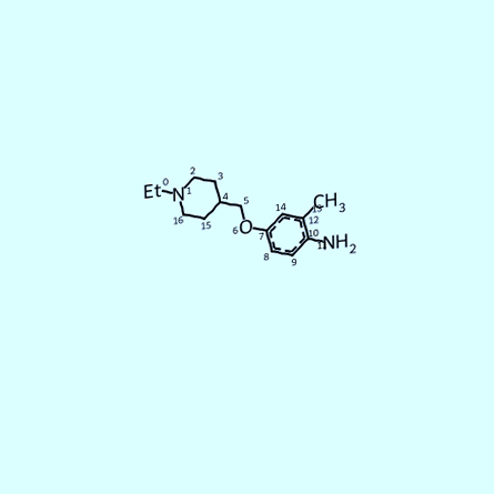 CCN1CCC(COc2ccc(N)c(C)c2)CC1